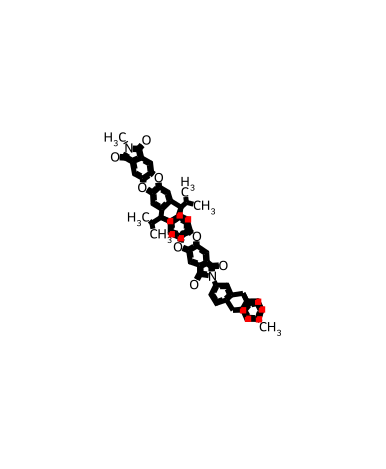 Cc1ccc2c(c1)C1c3ccccc3C2c2cc(-n3c(=O)c4cc5oc6cc7c(cc6oc5cc4c3=O)C3(C(C)C)c4ccccc4C7(C(C)C)c4cc5oc6cc7c(=O)n(C)c(=O)c7cc6oc5cc43)ccc21